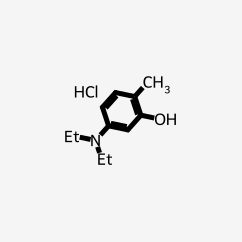 CCN(CC)c1ccc(C)c(O)c1.Cl